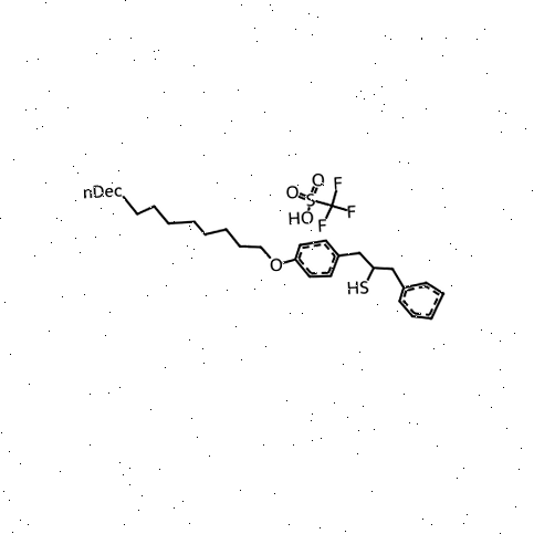 CCCCCCCCCCCCCCCCCCOc1ccc(CC(S)Cc2ccccc2)cc1.O=S(=O)(O)C(F)(F)F